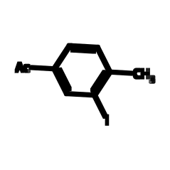 CC(=O)c1ccc(C)c(I)c1